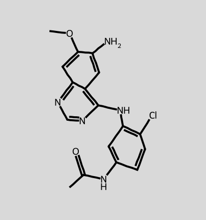 COc1cc2ncnc(Nc3cc(NC(C)=O)ccc3Cl)c2cc1N